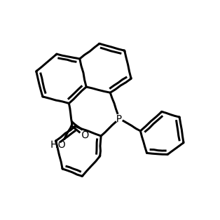 O=C(O)c1cccc2cccc(P(c3ccccc3)c3ccccc3)c12